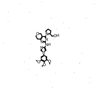 COc1cc(-n2cnc(Nc3nc4c(c(N5CCCC5CO)n3)COCC4)c2)cc(OC)c1OC